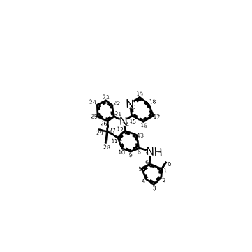 Cc1ccccc1Nc1ccc2c(c1)N(c1ccccn1)c1ccccc1C2(C)C